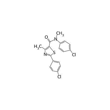 Cc1nc(-c2ccc(Cl)cc2)sc1C(=O)N(C)c1ccc(Cl)cc1